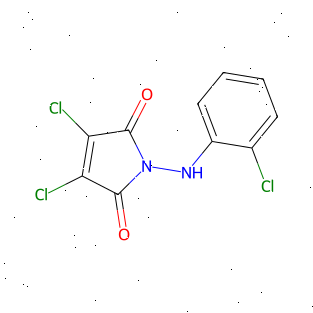 O=C1C(Cl)=C(Cl)C(=O)N1Nc1ccccc1Cl